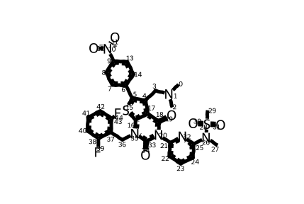 CN(C)Cc1c(-c2ccc([N+](=O)[O-])cc2)sc2c1c(=O)n(-c1cccc(N(C)S(C)(=O)=O)n1)c(=O)n2Cc1c(F)cccc1F